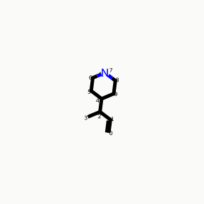 C=CC(C)C1CC[N]CC1